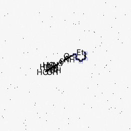 CC/C=C\C/C=C\C/C=C\C/C=C\C/C=C\CCCC(=O)NCCSSCCNC(=O)[C@H](O)[C@@H](O)[C@H](O)[C@H](O)CO